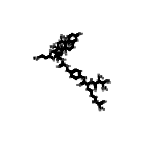 CCCC1O[C@@H]2C[C@H]3[C@@H]4CCC5=CC(=O)C=C[C@]5(C)[C@H]4[C@@H](O)C[C@]3(C)[C@]2(C(=O)COC(=O)OCc2ccc(NC(=O)[C@H](CCCCNC(N)=O)NC(=O)[C@@H](N)C(C)C)cc2)O1